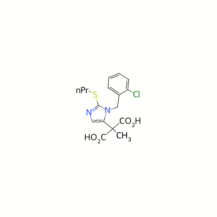 CCCSc1ncc(C(C)(C(=O)O)C(=O)O)n1Cc1ccccc1Cl